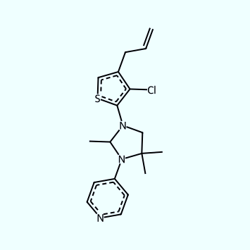 C=CCc1csc(N2CC(C)(C)N(c3ccncc3)C2C)c1Cl